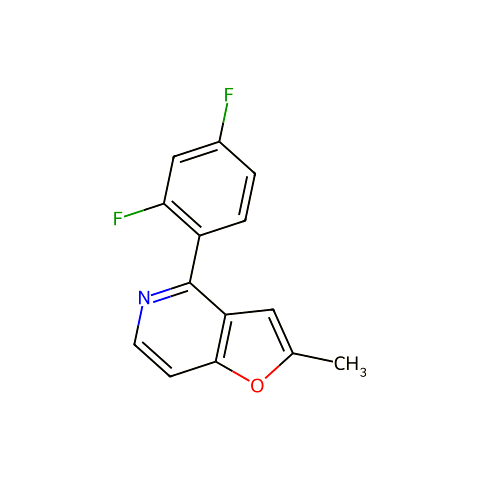 Cc1cc2c(-c3ccc(F)cc3F)nccc2o1